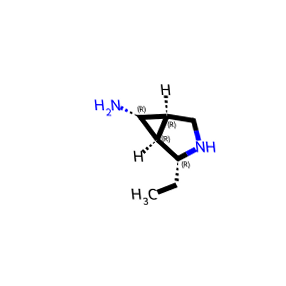 CC[C@H]1NC[C@@H]2[C@@H](N)[C@@H]21